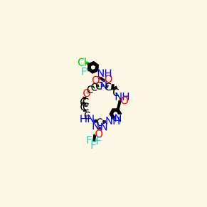 CC1(C)CNC(=O)c2ccc(nc2)Nc2cc(nc(OCC(F)(F)F)n2)NCc2ccc(cc2)OCCCN(C(=O)C(=O)Nc2ccc(Cl)c(F)c2)C1